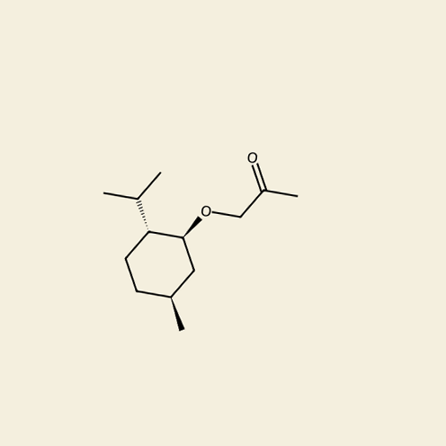 CC(=O)CO[C@H]1C[C@@H](C)CC[C@@H]1C(C)C